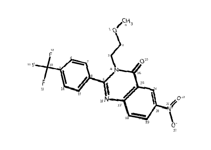 COCCn1c(-c2ccc(C(F)(F)F)cc2)nc2ccc([N+](=O)[O-])cc2c1=O